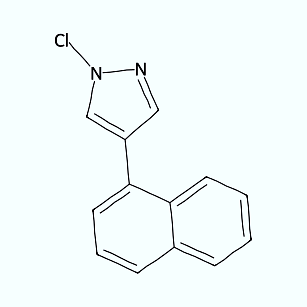 Cln1cc(-c2cccc3ccccc23)cn1